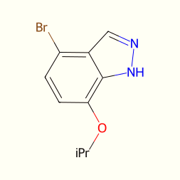 CC(C)Oc1ccc(Br)c2cn[nH]c12